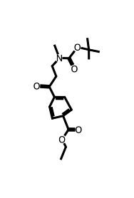 CCOC(=O)c1ccc(C(=O)CCN(C)C(=O)OC(C)(C)C)cc1